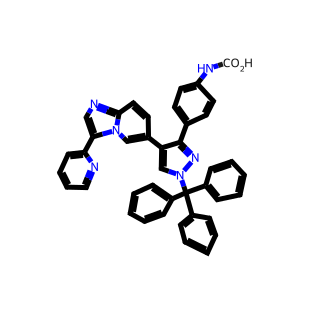 O=C(O)Nc1ccc(-c2nn(C(c3ccccc3)(c3ccccc3)c3ccccc3)cc2-c2ccc3ncc(-c4ccccn4)n3c2)cc1